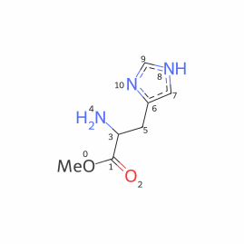 COC(=O)C(N)Cc1c[nH]cn1